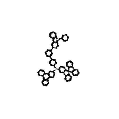 c1ccc(-n2c3ccccc3c3cc(-c4cccc(-c5ccc(N(c6ccc7c(c6)-c6ccccc6C76c7ccccc7-c7ccccc76)c6ccc7c8ccccc8c8ccccc8c7c6)cc5)c4)ccc32)cc1